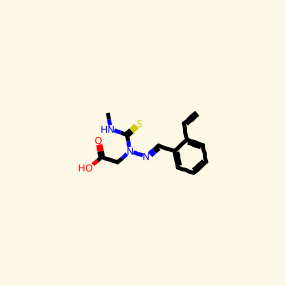 C=Cc1ccccc1/C=N/N(CC(=O)O)C(=S)NC